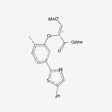 CO/C=C(\Oc1cc(-c2ncc(C(C)C)s2)ccc1C)C(=O)OC